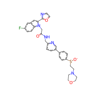 O=C(Cn1c(-c2ncco2)cc2cc(F)ccc21)NCc1ccc(-c2ccc([S+]([O-])CCN3CCOCC3)cc2)cn1